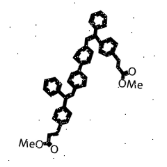 COC(=O)CCc1ccc(C(=Cc2ccc(-c3ccc(C=C(c4ccccc4)c4ccc(CCC(=O)OC)cc4)cc3)cc2)c2ccccc2)cc1